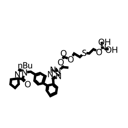 CCCCC1=NC2(CCCC2)C(=O)N1Cc1ccc(-c2ccccc2-c2nnn(C(C)OC(=O)OCCSCCON(O)O)n2)cc1